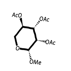 CO[C@@H]1OC[C@@H](OC(C)=O)[C@H](OC(C)=O)[C@@H]1OC(C)=O